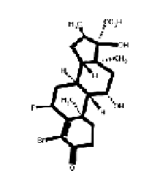 C[C@@H]1C[C@H]2[C@@H]3C[C@H](F)C4=C(Br)C(=O)CC[C@]4(C)[C@H]3[C@@H](O)C[C@]2(C)[C@@]1(O)C(=O)O